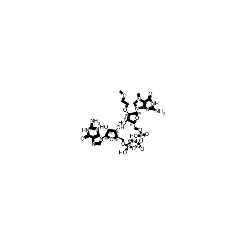 COCCO[C@@H]1[C@H](O)[C@@H](COP(=O)(O)OP(=O)(O)OP(=O)(O)OC[C@H]2O[C@@H](n3cnc4c(=O)[nH]c(N)nc43)[C@H](O)[C@@H]2O)O[C@H]1N1CN(C)c2c1nc(N)[nH]c2=O